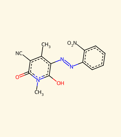 Cc1c(N=Nc2ccccc2[N+](=O)[O-])c(O)n(C)c(=O)c1C#N